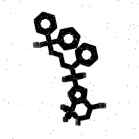 CC(C)(C)[Si](OCCN(c1ccccc1)S(=O)(=O)c1cc2c(s1)S(=O)(=O)NCC2O)(c1ccccc1)c1ccccc1